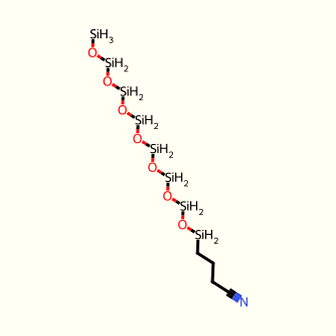 N#CCCC[SiH2]O[SiH2]O[SiH2]O[SiH2]O[SiH2]O[SiH2]O[SiH2]O[SiH3]